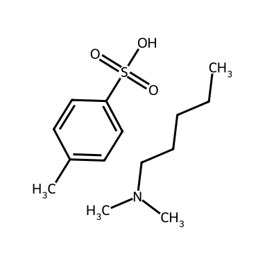 CCCCCN(C)C.Cc1ccc(S(=O)(=O)O)cc1